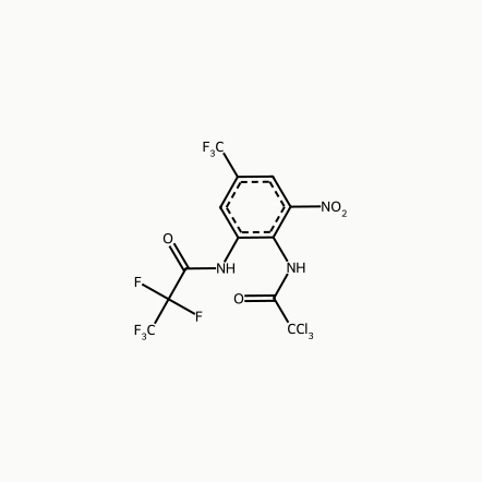 O=C(Nc1c(NC(=O)C(F)(F)C(F)(F)F)cc(C(F)(F)F)cc1[N+](=O)[O-])C(Cl)(Cl)Cl